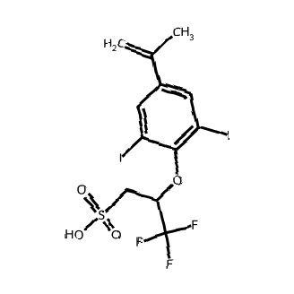 C=C(C)c1cc(I)c(OC(CS(=O)(=O)O)C(F)(F)F)c(I)c1